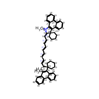 C=C(/C=C/C=C/C=C/C=C/C=C1/N(C)c2c(c3ccccc3c3ccccc23)C12CCCCC2)C1(c2c(C)c3ccccc3c3ccccc23)CCCCC1